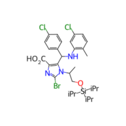 Cc1ccc(Cl)cc1NC(c1ccc(Cl)cc1)c1c(C(=O)O)nc(Br)n1C(C)CO[Si](C(C)C)(C(C)C)C(C)C